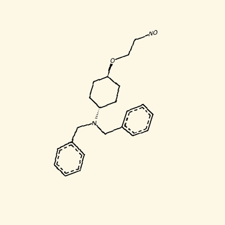 O=NCCO[C@H]1CC[C@H](N(Cc2ccccc2)Cc2ccccc2)CC1